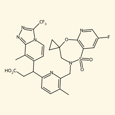 Cc1ccc(C(CC(=O)O)c2ccn3c(C(F)(F)F)nnc3c2C)nc1CN1CC2(CC2)Oc2ncc(F)cc2S1(=O)=O